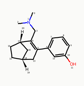 CN(C)CC1=C(c2cccc(O)c2)C[C@@H]2CC[C@H]1C2